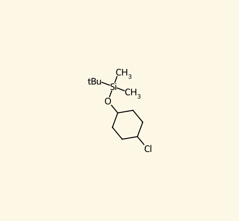 CC(C)(C)[Si](C)(C)OC1CCC(Cl)CC1